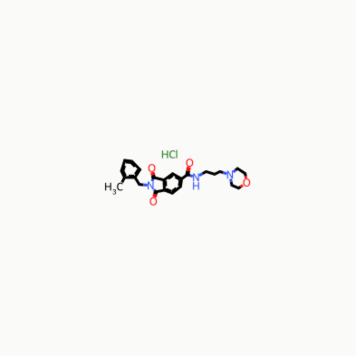 Cc1ccccc1CN1C(=O)c2ccc(C(=O)NCCCN3CCOCC3)cc2C1=O.Cl